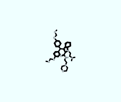 COCOc1ccc(C(c2ccc(OCOC)cc2)c2c(C(=O)NCCN3CCOCC3)n(CCN(C)C)c3ccccc23)cc1